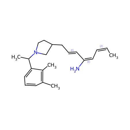 C\C=C/C=C(N)\C=C\CC1CCN(C(C)c2cccc(C)c2C)C1